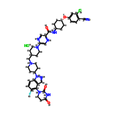 Cl.N#Cc1ccc(O[C@H]2CC[C@H](NC(=O)c3cnc(N4CCC(CN5CCC(n6ncc7c(N8CCC(=O)NC8=O)c(F)ccc76)CC5)CC4)cn3)CC2)cc1Cl